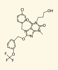 Cn1c(=O)n(CCCO)c(=O)c2c1nc(OCc1cccc(OC(F)(F)F)c1)n2Cc1ccc(Cl)cc1